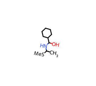 CSC(C)NC(O)C1CCCCC1